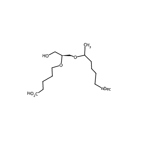 CCCCCCCCCCCCCCC(C)OC[C@H](CO)OCCCCC(=O)O